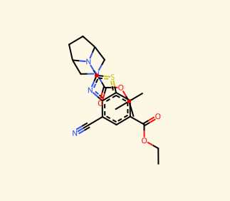 CCOC(=O)c1cc(C#N)c2nc(N3C4CCC3CN(C(=O)OC(C)(C)C)C4)sc2c1